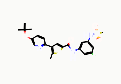 Cc1sc(C(=O)Nc2cc(Cl)cc(NS(C)(=O)=O)c2)cc1-c1ccc(OC(C)(C)C)cn1